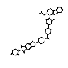 C[C@@H]1Cc2c([nH]c3ccccc23)[C@@H](c2c(F)cc(C3CCC(C(=O)N4CCC(N5Cc6cc7c(cc6C5)C(=O)N(C5CCC(=O)NC5=O)C7=O)CC4)CC3)cc2F)N1CC(F)F